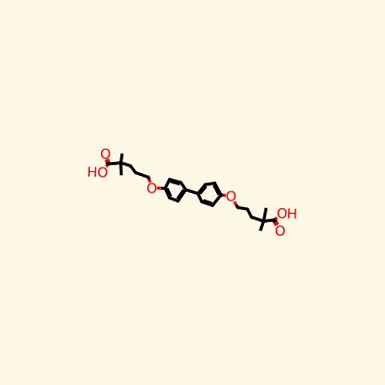 CC(C)(CCCOc1ccc(-c2ccc(OCCCC(C)(C)C(=O)O)cc2)cc1)C(=O)O